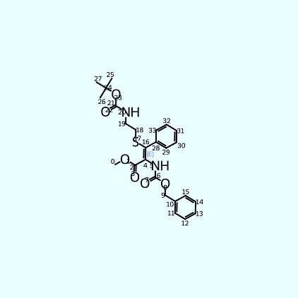 COC(=O)/C(NC(=O)OCc1ccccc1)=C(\SCCNC(=O)OC(C)(C)C)c1ccccc1